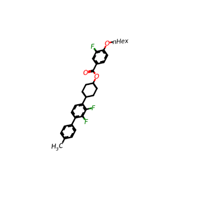 CCCCCCOc1ccc(C(=O)OC2CCC(c3ccc(-c4ccc(C)cc4)c(F)c3F)CC2)cc1F